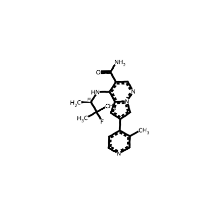 Cc1cnccc1-c1cc2c(N[C@H](C)C(C)(C)F)c(C(N)=O)cnn2c1